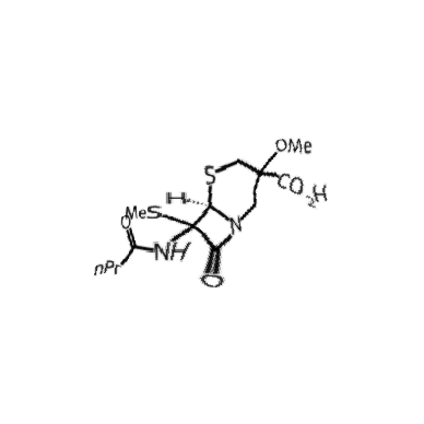 CCCC(=O)NC1(SC)C(=O)N2CC(OC)(C(=O)O)CS[C@@H]21